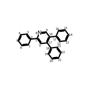 [c]1c(-c2ccccc2)ncc(-c2ccccc2)c1-c1ccccc1